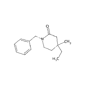 CCC1(C)CCN(Cc2ccccc2)C(=O)C1